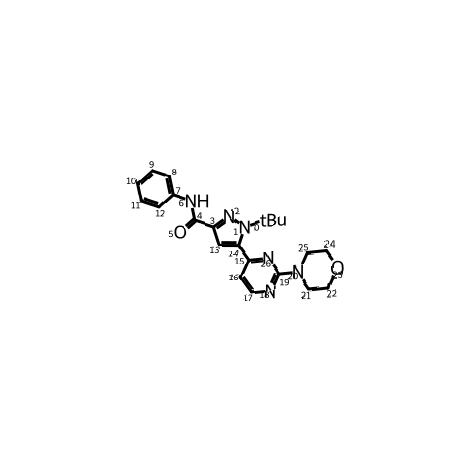 CC(C)(C)n1nc(C(=O)Nc2ccccc2)cc1-c1ccnc(N2CCOCC2)n1